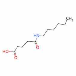 CCCCCCNC(=O)CCCC(=O)O